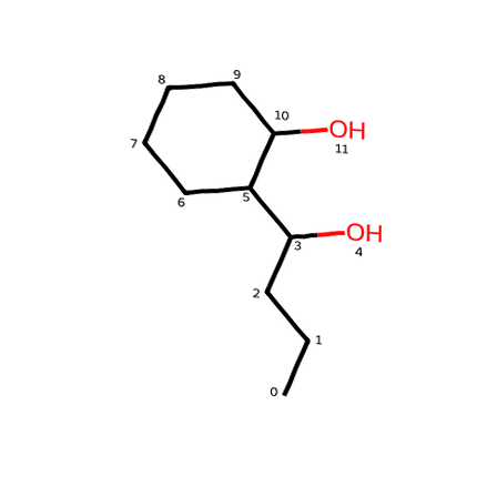 CCCC(O)C1CCCCC1O